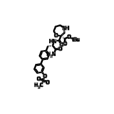 CC(C)(C)OC(=O)[C@@]1(C(=O)N[C@@H](Cc2ccc(-c3cccc(OS(C)(=O)=O)c3)cc2)C(N)=O)CNCCCO1